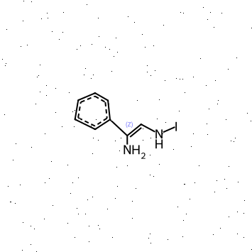 N/C(=C\NI)c1ccccc1